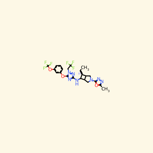 C/C=C1\C2CN(c3nnc(C)o3)CC2C1Nc1nc(Oc2cccc(OC(F)(F)F)c2)n(CC(F)(F)F)n1